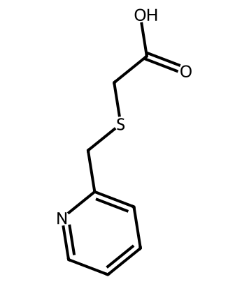 O=C(O)CSCc1ccccn1